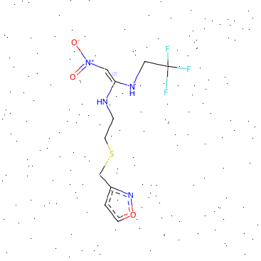 O=[N+]([O-])/C=C(\NCCSCc1ccon1)NCC(F)(F)F